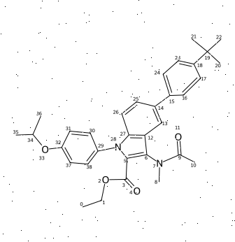 CCOC(=O)c1c(N(C)C(C)=O)c2cc(-c3ccc(C(C)(C)C)cc3)ccc2n1-c1ccc(OC(C)C)cc1